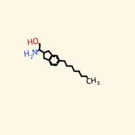 CCCCCCCCc1ccc2c(c1)CC(C(N)CO)C2